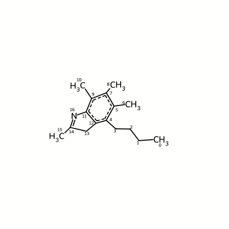 CCCCc1c(C)c(C)c(C)c2c1CC(C)=N2